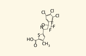 Cc1cc(C2=NO[C@](c3cc(Cl)c(Cl)c(Cl)c3)(C(F)(F)F)C2)sc1C(=O)O